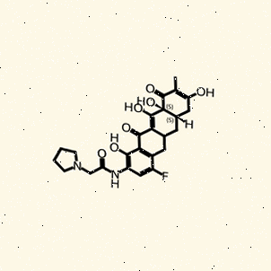 CC1=C(O)C[C@@H]2CC3Cc4c(F)cc(NC(=O)CN5CCCC5)c(O)c4C(=O)C3=C(O)[C@]2(O)C1=O